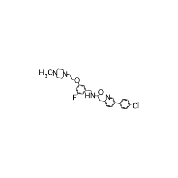 CN1CCN(CCOc2cc(F)cc(CNC(=O)Cc3ccc(-c4ccc(Cl)cc4)cn3)c2)CC1